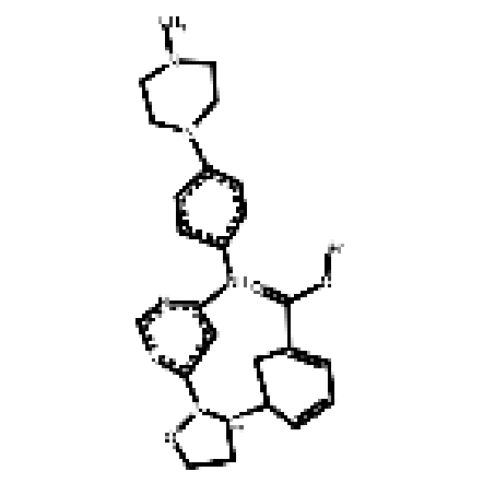 CC(C)OC(=O)C1=CC=CC([C@H]2CCON2c2cc(Nc3ccc(N4CCN(C)CC4)cc3)ncn2)C1